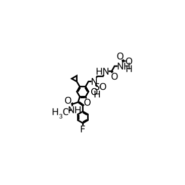 CNC(=O)c1c(-c2ccc(F)cc2)oc2cc(CN(CCNC(=O)CNC(=O)O)[SH](=O)=O)c(C3CC3)cc12